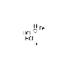 Cl.Cl.Cl.[Fe].[Ti]